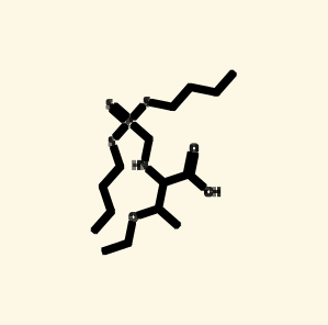 CCCCSP(=S)(CNC(C(=O)O)C(C)OCC)SCCCC